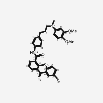 COc1ccc(N(C)CCCc2ccc(NC(=O)c3cccc4c(=O)c5cc(F)ccc5sc34)cc2)cc1OC